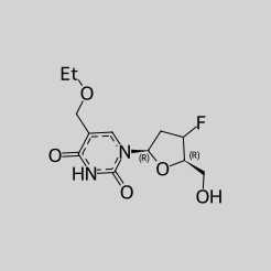 CCOCc1cn([C@H]2CC(F)[C@@H](CO)O2)c(=O)[nH]c1=O